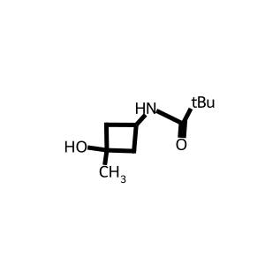 CC1(O)CC(NC(=O)C(C)(C)C)C1